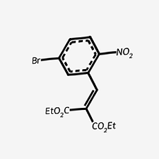 CCOC(=O)C(=Cc1cc(Br)ccc1[N+](=O)[O-])C(=O)OCC